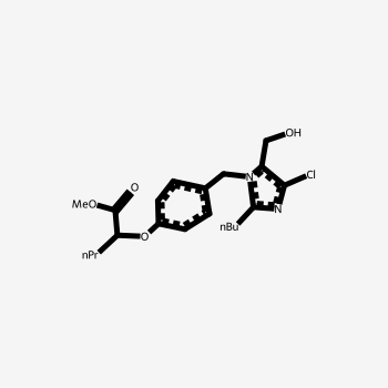 CCCCc1nc(Cl)c(CO)n1Cc1ccc(OC(CCC)C(=O)OC)cc1